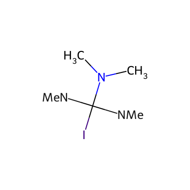 CNC(I)(NC)N(C)C